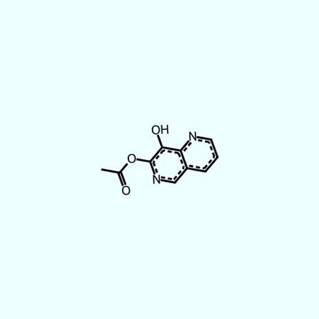 CC(=O)Oc1ncc2cccnc2c1O